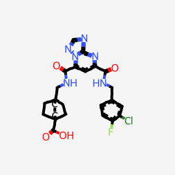 O=C(NCc1ccc(F)c(Cl)c1)c1cc(C(=O)NCC23CCC(C(=O)O)(CC2)CC3)n2ncnc2n1